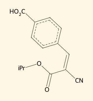 CC(C)OC(=O)C(C#N)=Cc1ccc(C(=O)O)cc1